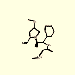 C=C(CNC)NC(C(=C)N1CC(NC)CC1C=O)C1CCCCC1